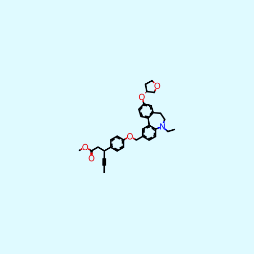 CC#CC(CC(=O)OC)c1ccc(OCc2ccc3c(c2)-c2ccc(O[C@@H]4CCOC4)cc2CCN3CC)cc1